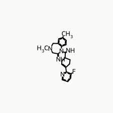 Cc1ccc2c(c1)CN(C)CC(=N)N2C(=N)C1CC=C(c2ncccc2F)CC1